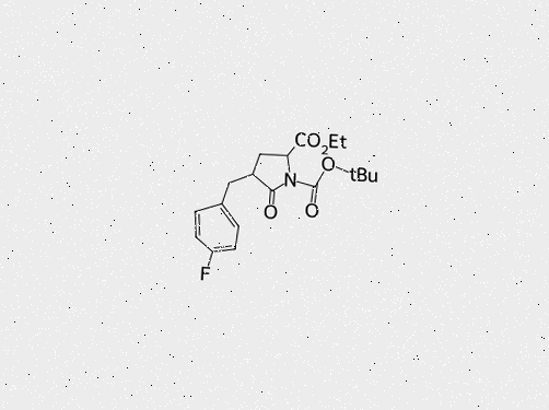 CCOC(=O)C1CC(Cc2ccc(F)cc2)C(=O)N1C(=O)OC(C)(C)C